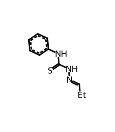 CCC=NNC(=S)Nc1ccccc1